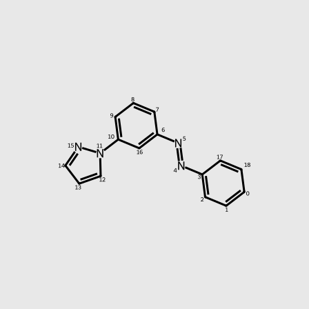 c1ccc(/N=N/c2cccc(-n3cccn3)c2)cc1